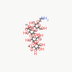 COC(=O)C1OC(OC2C(C(=O)O)OC(OC3C(O)C(OC4C(CO)OC(OCCN)C(O)C4O)OC(C(=O)OC)C3O)C(O)C2O)C(O)C(O)C1O